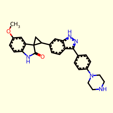 COc1ccc2c(c1)C1(CC1c1ccc3c(-c4ccc(N5CCNCC5)cc4)n[nH]c3c1)C(=O)N2